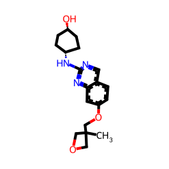 CC1(COc2ccc3cnc(N[C@H]4CC[C@H](O)CC4)nc3c2)COC1